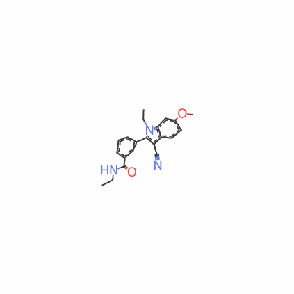 CCNC(=O)c1cccc(-c2c(C#N)c3ccc(OC)cc3n2CC)c1